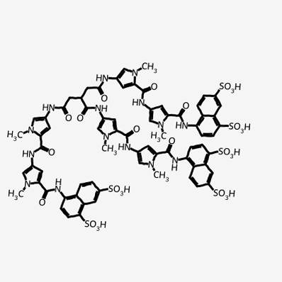 Cn1cc(NC(=O)CC(CC(=O)Nc2cc(C(=O)Nc3cc(C(=O)Nc4ccc(S(=O)(=O)O)c5cc(S(=O)(=O)O)ccc45)n(C)c3)n(C)c2)C(=O)Nc2cc(C(=O)Nc3cc(C(=O)Nc4ccc(S(=O)(=O)O)c5cc(S(=O)(=O)O)ccc45)n(C)c3)n(C)c2)cc1C(=O)Nc1cc(C(=O)Nc2ccc(S(=O)(=O)O)c3cc(S(=O)(=O)O)ccc23)n(C)c1